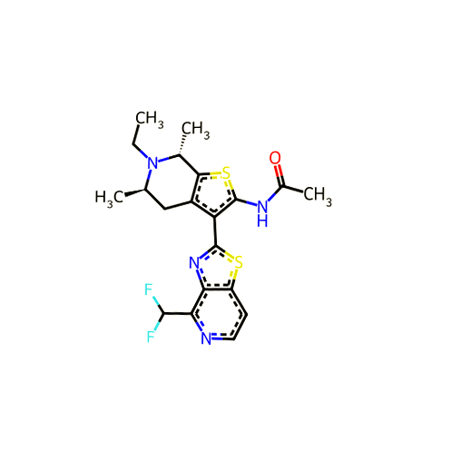 CCN1[C@H](C)Cc2c(sc(NC(C)=O)c2-c2nc3c(C(F)F)nccc3s2)[C@H]1C